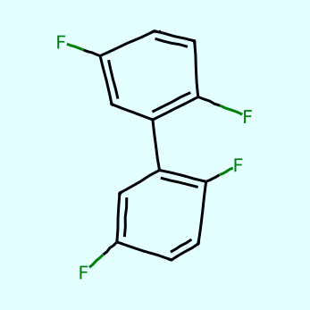 Fc1[c]cc(F)c(-c2cc(F)ccc2F)c1